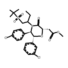 CCC(CS(=O)(=O)C(C)(C)C)N1C(=O)[C@H](CC(=O)OC)O[C@H](c2cccc(Cl)c2)[C@H]1c1ccc(Cl)cc1